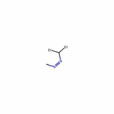 CCC(CC)/N=N\C